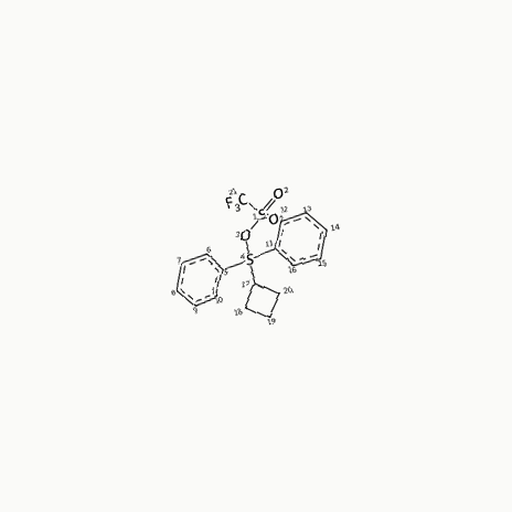 O=S(=O)(OS(c1ccccc1)(c1ccccc1)C1CCC1)C(F)(F)F